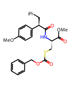 COC(=O)[C@H](CSC(=O)OCc1ccccc1)NC(=O)[C@H](CC(C)C)c1ccc(OC)cc1